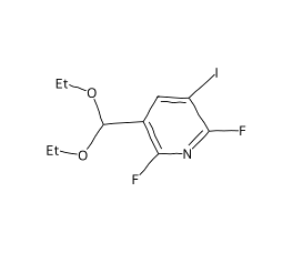 CCOC(OCC)c1cc(I)c(F)nc1F